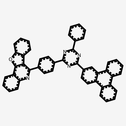 c1ccc(-c2nc(-c3ccc(-c4nc5ccccc5c5oc6ccccc6c45)cc3)nc(-c3ccc4c5ccccc5c5ccccc5c4c3)n2)cc1